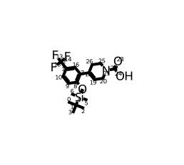 CC(C)(C)[Si](C)(C)Oc1ccc(C(F)(F)F)cc1C1=CCN(C(=O)O)CC1